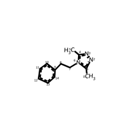 Cc1nnc(C)n1CCc1ccccc1